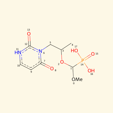 COC(OC(C)Cn1c(=O)cc[nH]c1=O)P(=O)(O)O